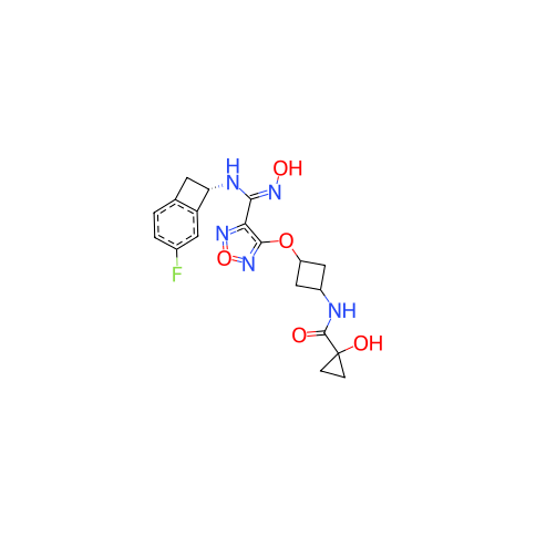 O=C(NC1CC(Oc2nonc2/C(=N/O)N[C@H]2Cc3ccc(F)cc32)C1)C1(O)CC1